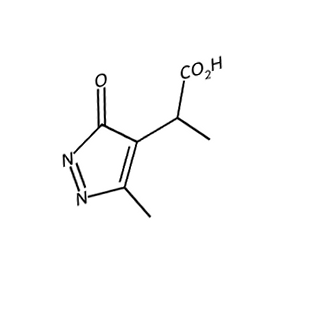 CC1=C(C(C)C(=O)O)C(=O)N=N1